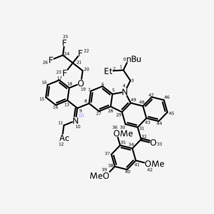 CCCCC(CC)Cn1c2ccc(/C(=N/CC(C)=O)c3ccccc3OCC(F)(F)C(F)F)cc2c2cc(C(=O)c3c(OC)cc(OC)cc3OC)c3ccccc3c21